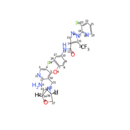 Nc1nccc(Oc2ccc(NC(=O)c3cnn(-c4ncccc4F)c3C(F)(F)F)cc2F)c1CN1C[C@@H]2C[C@H]1CO2